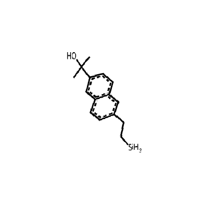 CC(C)(O)c1ccc2cc(CC[SiH3])ccc2c1